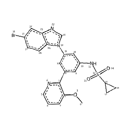 COc1cccnc1-c1cc(NS(=O)(=O)C2CC2)cc(-n2cnc3cc(Br)ccc32)c1